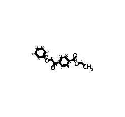 CCOC(=O)c1ccc(C(=O)COc2ccccc2)cc1